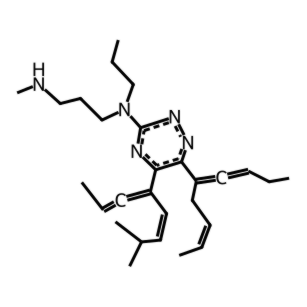 CC=C=C(/C=C\C(C)C)c1nc(N(CCC)CCCNC)nnc1C(=C=CCC)C/C=C\C